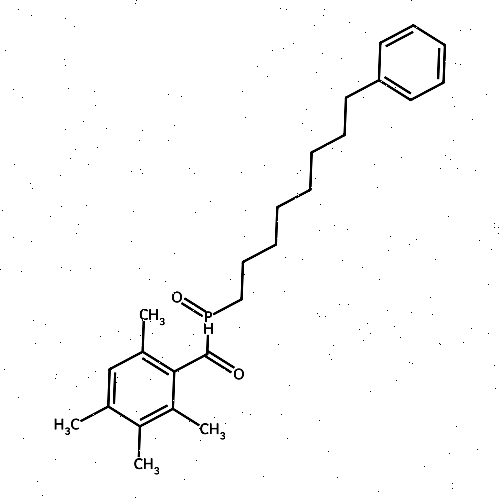 Cc1cc(C)c(C(=O)[PH](=O)CCCCCCCCc2ccccc2)c(C)c1C